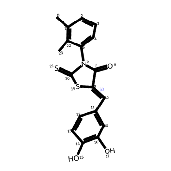 Cc1cccc(N2C(=O)/C(=C/c3ccc(O)c(O)c3)SC2=S)c1C